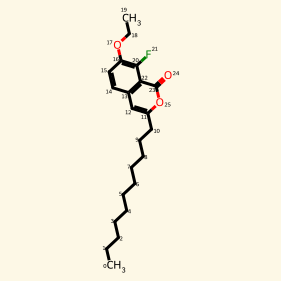 CCCCCCCCCCCc1cc2ccc(OCC)c(F)c2c(=O)o1